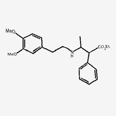 CCOC(=O)C(c1ccccc1)C(C)NCCc1ccc(OC)c(OC)c1